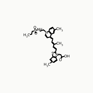 CCCS(=O)(=O)NCCN1C=C\C(=C/C=C(C)/C=C/c2sc3cc(C)ccc3[n+]2CC(=O)O)c2cc(C)ccc21